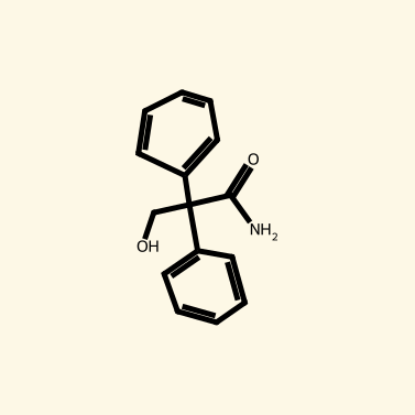 NC(=O)C(CO)(c1ccccc1)c1ccccc1